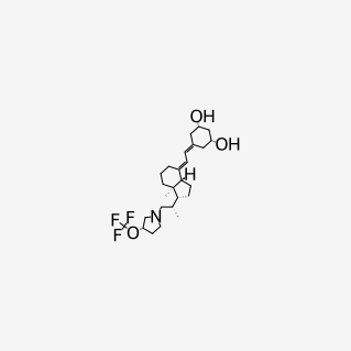 C[C@H](CN1CC[C@H](OC(F)(F)F)C1)[C@H]1CC[C@H]2/C(=C/C=C3\C[C@@H](O)C[C@@H](O)C3)CCC[C@]12C